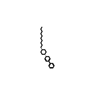 CCCCCCCCCC[C@H]1CC[C@H](C2C=CC(c3ccccc3)=CC2)CC1